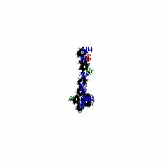 CN(Cc1cc2c(cc1Br)C(=O)N(C1CCCNC1)C2)C1CCN(c2cccc(-c3cnc4ccc(N5CCC[C@@H]5c5cccc(F)c5)nn34)n2)CC1